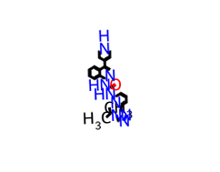 CC(C)n1cnnc1-c1cccc(NC(=O)Nc2ncc(C3=CCNCC3)c3ccccc23)n1